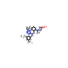 CC(C)C(c1ccc(C(F)(F)F)cc1CN(Cc1cc(C(F)(F)F)cc(C(F)(F)F)c1)c1nnn(C)n1)N1CC(O)C1